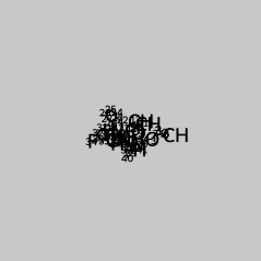 C#CCOCCN(C(=O)OC(C)(C)C)[C@H]1C[C@@H](NC(=O)N2CCc3ccccc3[C@@H]2c2ccc(F)cc2)C2CC1C2